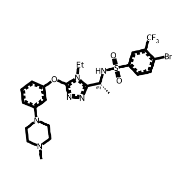 CCn1c(Oc2cccc(N3CCN(C)CC3)c2)nnc1[C@@H](C)NS(=O)(=O)c1ccc(Br)c(C(F)(F)F)c1